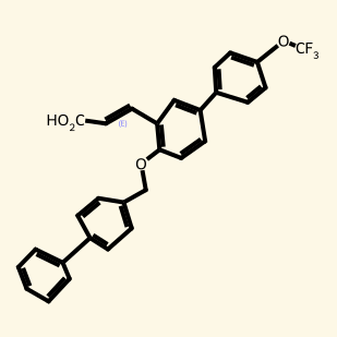 O=C(O)/C=C/c1cc(-c2ccc(OC(F)(F)F)cc2)ccc1OCc1ccc(-c2ccccc2)cc1